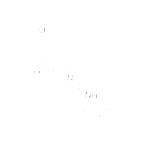 O=C(c1ccc(Cl)cc1)C1CCN(CCNC(=O)C2CC3C=CC2C3)CC1